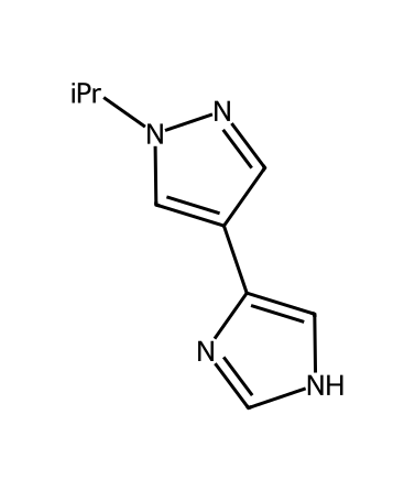 CC(C)n1cc(-c2c[nH]cn2)cn1